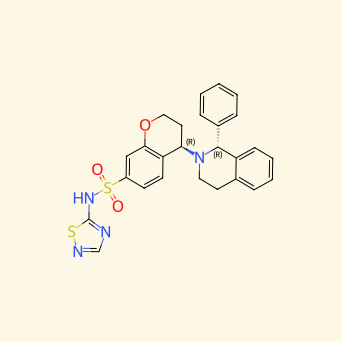 O=S(=O)(Nc1ncns1)c1ccc2c(c1)OCC[C@H]2N1CCc2ccccc2[C@H]1c1ccccc1